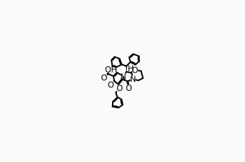 O=C(O)c1cn2c(c(OCc3ccccc3)c1=O)C(=O)N1CCCO[C@H]1[C@@H]2C(c1ccccc1)c1ccccc1